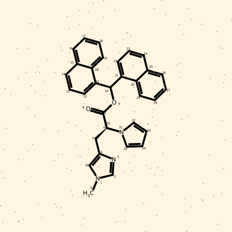 Cn1cnc(C[C@@H](C(=O)OC(c2cccc3ccccc23)c2cccc3ccccc23)n2cccc2)c1